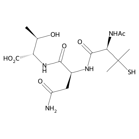 CC(=O)N[C@H](C(=O)N[C@@H](CC(N)=O)C(=O)N[C@H](C(=O)O)[C@@H](C)O)C(C)(C)S